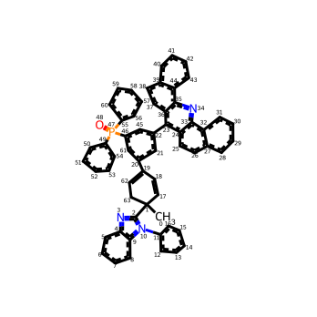 CC1(c2nc3ccccc3n2-c2ccccc2)C=CC(c2cc(-c3c4ccc5ccccc5c4nc4c3ccc3ccccc34)cc(P(=O)(c3ccccc3)c3ccccc3)c2)=CC1